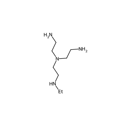 CCNCCN(CCN)CCN